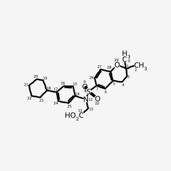 CC1(C)CCc2cc(S(=O)(=O)N(CC(=O)O)c3ccc(C4CCCCC4)cc3)ccc2O1